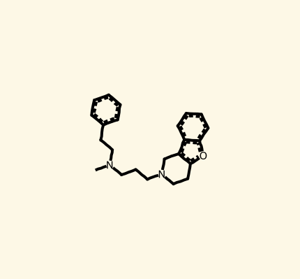 CN(CCCN1CCc2oc3ccccc3c2C1)CCc1ccccc1